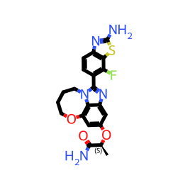 C[C@H](Oc1cc2c3c(c1)nc(-c1ccc4nc(N)sc4c1F)n3CCCCO2)C(N)=O